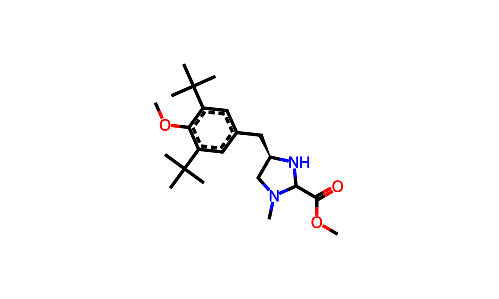 COC(=O)C1N[C@H](Cc2cc(C(C)(C)C)c(OC)c(C(C)(C)C)c2)CN1C